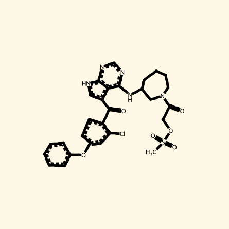 CS(=O)(=O)OCC(=O)N1CCCCC(Nc2ncnc3[nH]cc(C(=O)c4ccc(Oc5ccccc5)cc4Cl)c23)C1